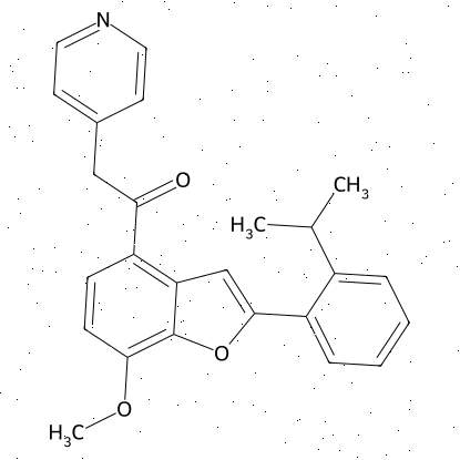 COc1ccc(C(=O)Cc2ccncc2)c2cc(-c3ccccc3C(C)C)oc12